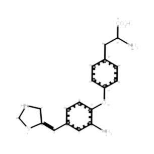 Nc1cc(/C=C2\CNCS2)ccc1Oc1ccc(CC(N)C(=O)O)cc1